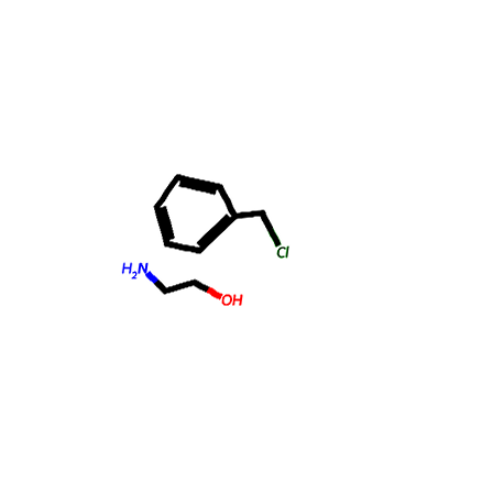 ClCc1ccccc1.NCCO